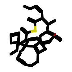 C=C=C(CC1CC2=C1C(/C=C\C=C/C)(C1C=CC1)C/C=C\CC2)C(C)C(/C=C\CC)C(=C)SC(=C)CCCC